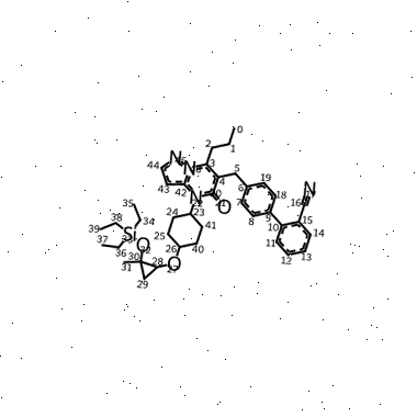 CCCc1c(Cc2ccc(-c3ccccc3C#N)cc2)c(=O)n(C2CCC(OC3CC3(C)O[Si](CC)(CC)CC)CC2)c2ccnn12